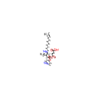 CCCCCCCCCCNc1ccc(OC2CCNCC2)cc1C.O=C(O)/C=C/C(=O)O